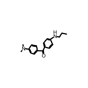 CCCNc1ccc(C(=O)c2ccc(N(C)C)cc2)cc1